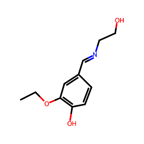 CCOc1cc(/C=N/CCO)ccc1O